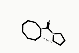 N[C@@H]1CCCCCC[C@H]1C(=O)N1CCCC1